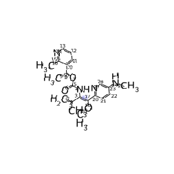 C=C(C)/C(NC(=O)O[C@H](C)c1cccnc1C)=C(\OC)c1ccc(NC)cn1